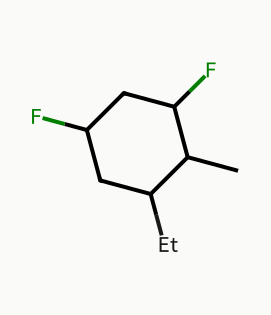 CCC1CC(F)CC(F)C1C